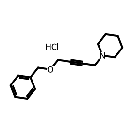 C(#CCN1CCCCC1)COCc1ccccc1.Cl